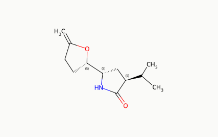 C=C1CC[C@@H]([C@@H]2C[C@@H](C(C)C)C(=O)N2)O1